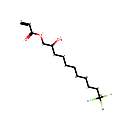 C=CC(=O)OCC(O)CCCCCCCCC(F)(F)F